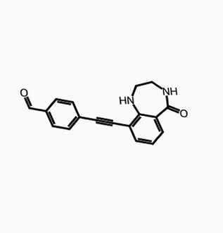 O=Cc1ccc(C#Cc2cccc3c2NCCNC3=O)cc1